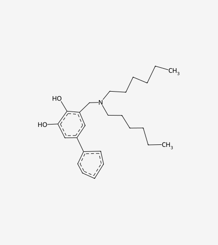 CCCCCCN(CCCCCC)Cc1cc(-c2ccccc2)cc(O)c1O